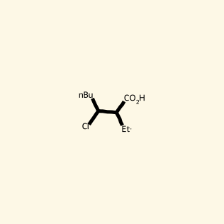 C[CH]C(C(=O)O)C(Cl)CCCC